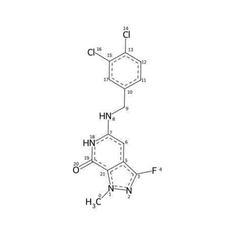 Cn1nc(F)c2cc(NCc3ccc(Cl)c(Cl)c3)[nH]c(=O)c21